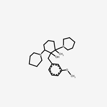 COc1cccc(CC2(O)C(N3CCCCC3)CCCC2(C)N2CCCCC2)c1